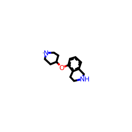 c1cc2c(c(OC3CC[N]CC3)c1)CCNC2